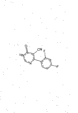 N#Cc1c(-c2ccc(F)cc2F)nc[nH]c1=O